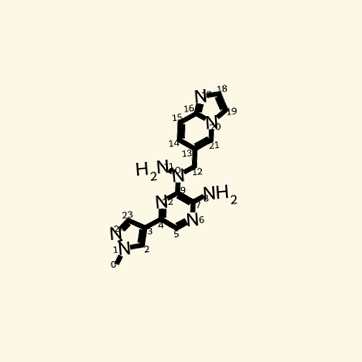 Cn1cc(-c2cnc(N)c(N(N)Cc3ccc4nccn4c3)n2)cn1